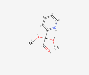 COC(C=O)(OC)c1ccccn1